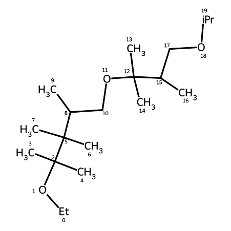 CCOC(C)(C)C(C)(C)C(C)COC(C)(C)C(C)COC(C)C